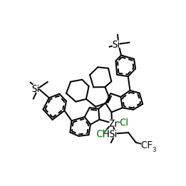 C[SiH](CCC(F)(F)F)[Zr]([Cl])([Cl])([CH]1C(CC2CCCCC2)=Cc2c(-c3ccc([Si](C)(C)C)cc3)cccc21)[CH]1C(CC2CCCCC2)=Cc2c(-c3ccc([Si](C)(C)C)cc3)cccc21